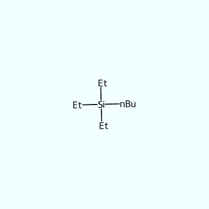 CCCC[Si](CC)(CC)CC